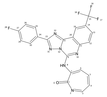 O=c1nccccc1Nc1nc2ccc(C(F)(F)F)cc2c2nc(-c3ccc(F)cc3)nn12